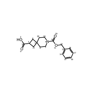 O=C(O)C1CC2(CCN(C(=O)OCc3ccccc3)CC2)C1